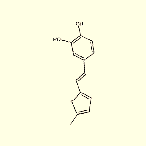 Cc1ccc(C=Cc2ccc(O)c(O)c2)s1